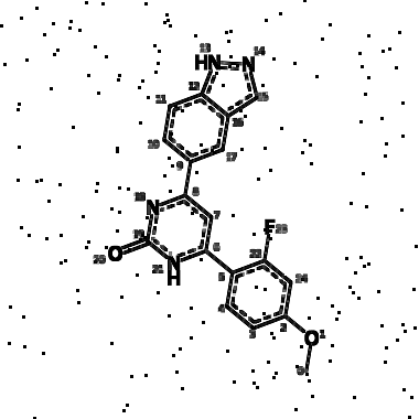 COc1ccc(-c2cc(-c3ccc4[nH]ncc4c3)nc(=O)[nH]2)c(F)c1